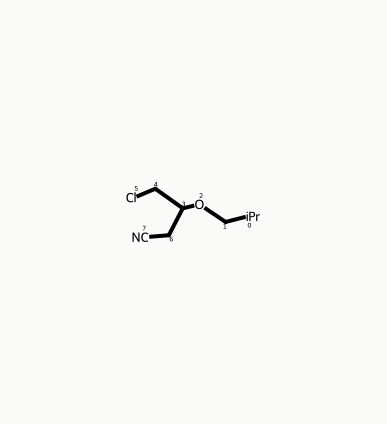 CC(C)COC(CCl)CC#N